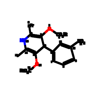 CCCC1=C(OC(=O)OCC)C(c2cccc([N+](=O)[O-])c2)C(OC(=O)OCC)=C(C)N1